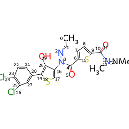 CC=NN(C(=O)c1ccc(C(=O)N(C)NC)s1)c1csc(-c2ccc(Cl)c(Cl)c2)c1O